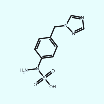 NN(c1ccc(Cn2cncn2)cc1)S(=O)(=O)O